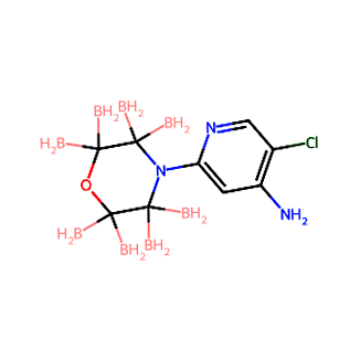 BC1(B)OC(B)(B)C(B)(B)N(c2cc(N)c(Cl)cn2)C1(B)B